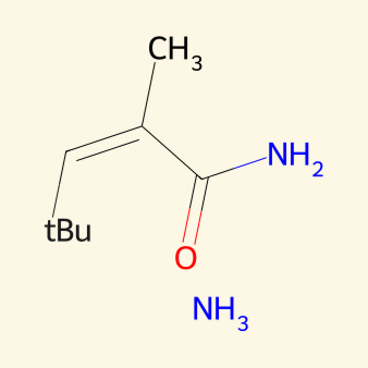 CC(=CC(C)(C)C)C(N)=O.N